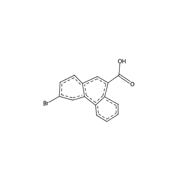 O=C(O)c1cc2ccc(Br)cc2c2ccccc12